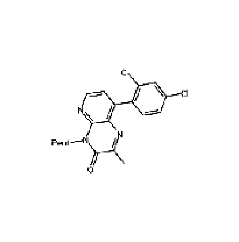 CCCC(C)n1c(=O)c(C)nc2c(-c3ccc(Cl)cc3Cl)ccnc21